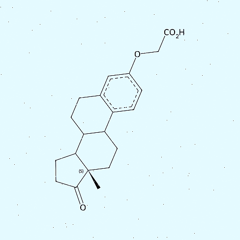 C[C@]12CCC3c4ccc(OCC(=O)O)cc4CCC3C1CCC2=O